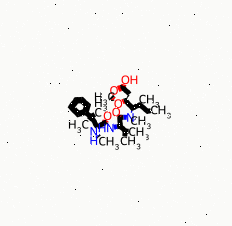 CC[C@H](C)[C@@H]([C@@H](CC(=O)O)OC)N(C)C(=O)C(NC(=O)C(NC)C(C)(C)c1ccccc1)C(C)C